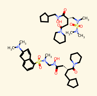 CN(C)S(=O)(=O)N(C)C[C@H](CC(=O)N1CCCCC1)C(=O)N(O)CC1CCCC1.CN(C)c1ccc2c(S(=O)(=O)N(C)CN(O)C(=O)C[C@@H](CC3CCCC3)C(=O)N3CCCCC3)cccc2c1